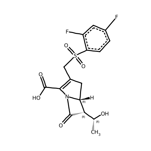 C[C@@H](O)[C@@H]1C(=O)N2C(C(=O)O)=C(CS(=O)(=O)c3ccc(F)cc3F)C[C@H]12